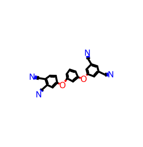 N#Cc1cc(C#N)cc(Oc2cccc(Oc3ccc(C#N)c(C#N)c3)c2)c1